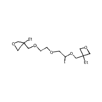 CCC1(COCCOCC(I)OCC2(CC)COC2)COC1